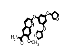 COc1cc2nc(Oc3cc(OC4CCOC4)cc(OC4CCOC4)c3)ccc2cc1C(N)=O